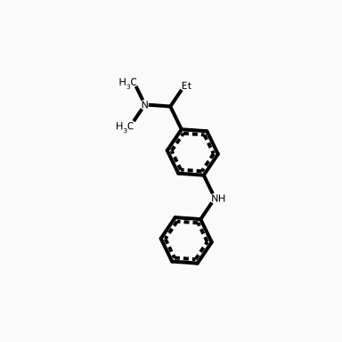 CCC(c1ccc(Nc2ccccc2)cc1)N(C)C